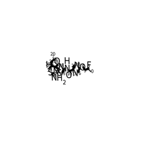 C[C@H](F)COc1cnc(C(=O)Nc2csc(C34CO[C@@H](C)C[C@H]3CSC(N)=N4)n2)cn1